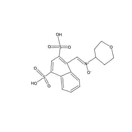 O=S(=O)(O)c1cc(S(=O)(=O)O)c2ccccc2c1C=[N+]([O-])C1CCOCC1